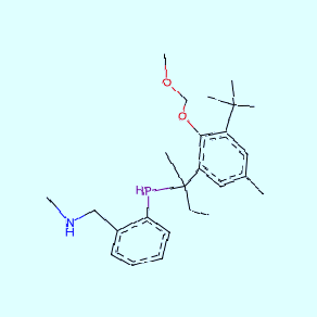 CCC(C)(Pc1ccccc1CNC)c1cc(C)cc(C(C)(C)C)c1OCOC